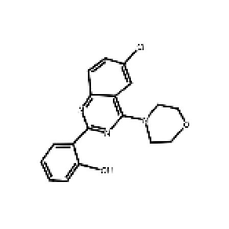 Oc1ccccc1-c1nc(N2CCOCC2)c2cc(Cl)ccc2n1